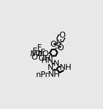 CCCNc1nc(Nc2ccc(S(=O)(=O)N3CCOCC3)cc2OC)nc2[nH]ccc12.O=C(O)C(F)(F)F